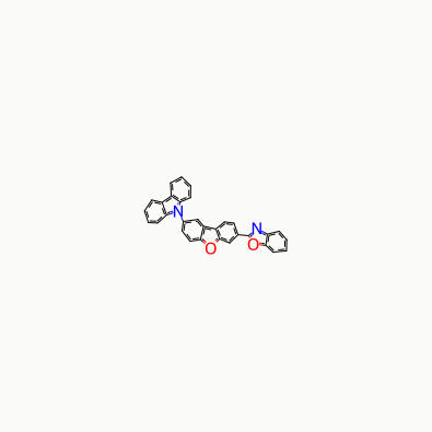 c1ccc2oc(-c3ccc4c(c3)oc3ccc(-n5c6ccccc6c6ccccc65)cc34)nc2c1